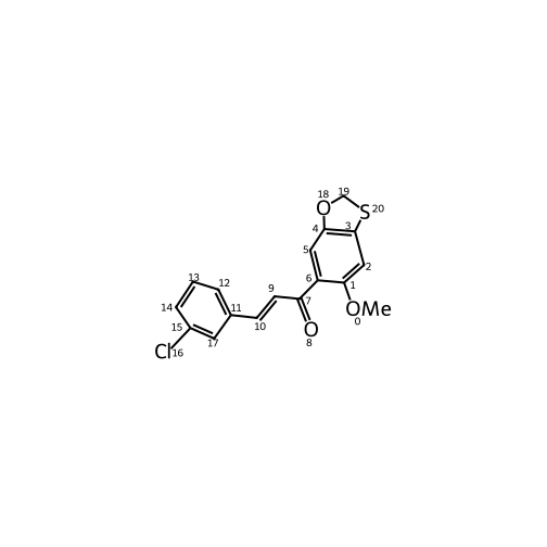 COc1cc2c(cc1C(=O)C=Cc1cccc(Cl)c1)OCS2